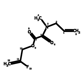 C=CCN(C)C(=O)C(=O)OCC(=C)F